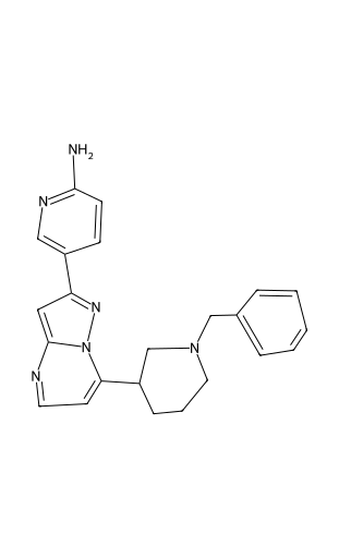 Nc1ccc(-c2cc3nccc(C4CCCN(Cc5ccccc5)C4)n3n2)cn1